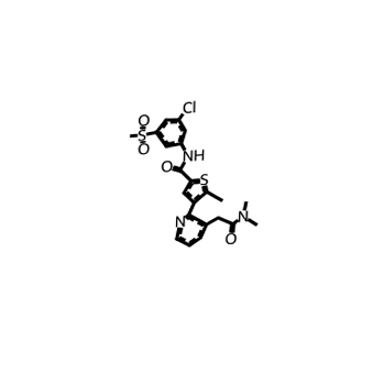 Cc1sc(C(=O)Nc2cc(Cl)cc(S(C)(=O)=O)c2)cc1-c1ncccc1CC(=O)N(C)C